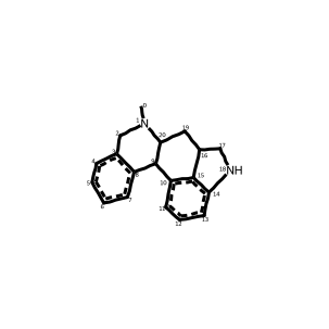 CN1Cc2ccccc2C2c3cccc4c3C(CN4)CC21